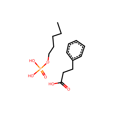 CCCCCOP(=O)(O)O.O=C(O)CCc1ccccc1